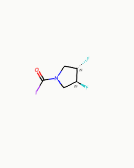 O=C(I)N1C[C@H](F)[C@@H](F)C1